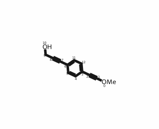 COC#Cc1ccc(C#CCO)cc1